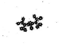 c1ccc(-c2cc(-c3ccccc3)nc(-c3cc(-c4cc5c6c7c(cc(-c8cc(-c9nc(-c%10ccccc%10)cc(-c%10ccccc%10)n9)cc(-n9c%10ccccc%10c%10ccccc%109)c8)cc7n(-c7ccccc7)c6c4)CC5)cc(-n4c5ccccc5c5ccccc54)c3)n2)cc1